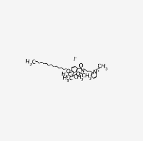 CCCCCCCCCCCCCCOc1ccc(C(=O)N(CCCc2cccc[n+]2CCC)C(C)=O)cc1C(C)(C)C.[I-]